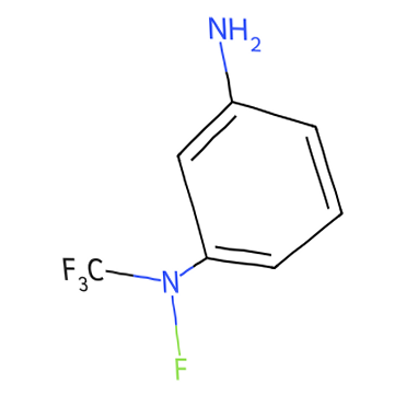 Nc1cccc(N(F)C(F)(F)F)c1